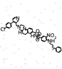 O=C(NS(=O)(=O)c1ccc(NCCSc2ccccc2)c([N+](=O)[O-])c1)c1ccc2c(c1)CC[C@H]1CN(Cc3cnccc3-c3ccc(Cl)cc3)CCN21